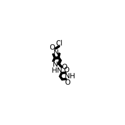 O=C1CC[C@H](NC(=O)c2cc3c(cn2)CN(C(=O)CCl)C3)C(=O)N1